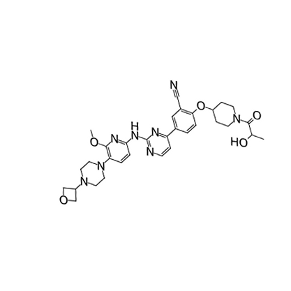 COc1nc(Nc2nccc(-c3ccc(OC4CCN(C(=O)C(C)O)CC4)c(C#N)c3)n2)ccc1N1CCN(C2COC2)CC1